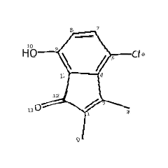 CC1=C(C)c2c(Cl)ccc(O)c2C1=O